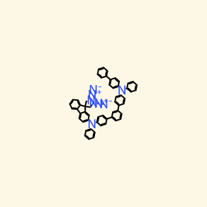 [N-]=[N+]=NCC1(CN=[N+]=[N-])c2ccccc2-c2ccc(N(c3ccccc3)c3ccc(-c4cccc(-c5ccc(N(c6ccccc6)c6ccc(-c7ccccc7)cc6)cc5)c4)cc3)cc21